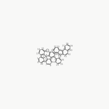 c1ccc(C2(c3ccccc3)c3ccccc3Oc3ccc(-c4ccccc4-n4c5ccccc5c5c6ccccc6ccc54)cc32)cc1